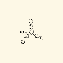 O=C(O)[C@H](C[S+]([O-])Cc1ccccc1)Nc1nc(-c2ccc(C(F)(F)F)cc2)nc(N2CCN(c3ccccn3)CC2)n1